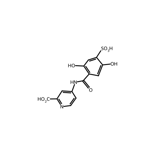 O=C(O)c1cc(NC(=O)c2cc(O)c(S(=O)(=O)O)cc2O)ccn1